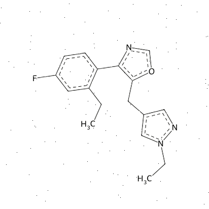 CCc1cc(F)ccc1-c1ncoc1Cc1cnn(CC)c1